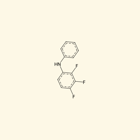 Fc1ccc(Nc2ccccc2)c(F)c1F